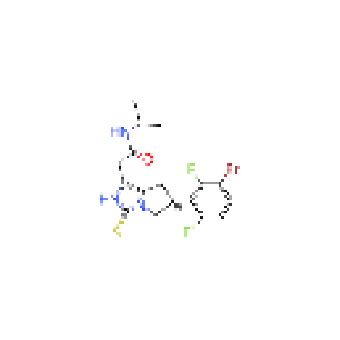 CC(C)NC(=O)Cc1[nH]c(=S)n2c1C[C@H](c1c(F)ccc(Br)c1F)C2